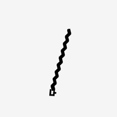 C=CCCCCCCCCCCCCCCCC.[Li]